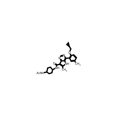 CC(=O)NC1CCC(NC(=O)c2c(C)[nH]c3c(-c4cc(C)ccc4OCC4CC4)ncnc23)CC1